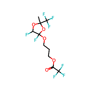 CC1(C(F)(F)F)OC(F)C(F)(OCCCOC(=O)C(F)(F)F)O1